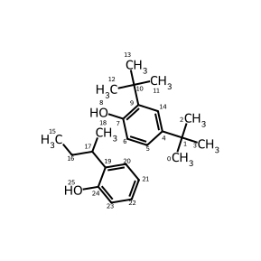 CC(C)(C)c1ccc(O)c(C(C)(C)C)c1.CCC(C)c1ccccc1O